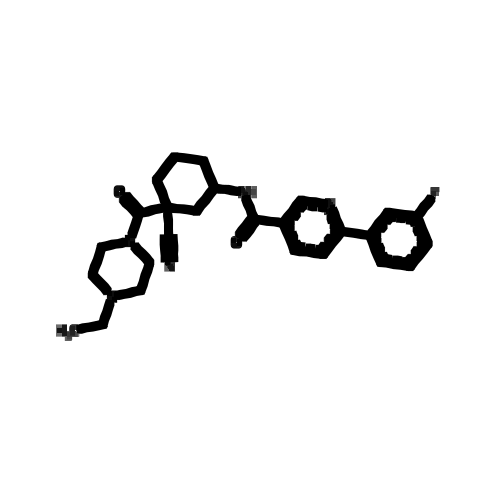 CCN1CCN(C(=O)C2(C#N)CCCC(NC(=O)c3ccc(-c4cccc(F)c4)nc3)C2)CC1